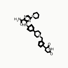 NC(=O)c1ncc(N2CCCCC2)nc1Nc1ccc(C2CCN(Cc3cccc(C4CCC(=O)NC4=O)c3)CC2)cc1